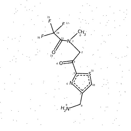 CN(CC(=O)c1nc(CN)cs1)C(=O)C(F)(F)F